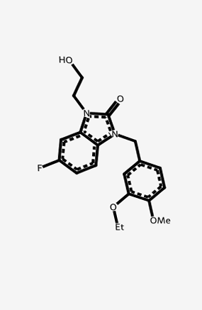 CCOc1cc(Cn2c(=O)n(CCO)c3cc(F)ccc32)ccc1OC